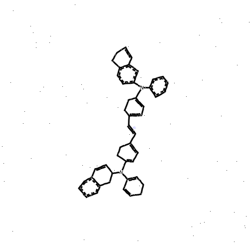 C1=CC(N(C2=CC=C(/C=C/C3=CC=C(N(c4ccccc4)c4ccc5c(c4)C=CCC5)CC3)CC2)C2C=Cc3ccccc3C2)=CCC1